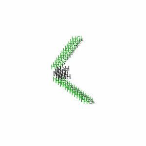 Cl.Cl.Cl.Cl.Cl.Cl.Cl.Cl.Cl.Cl.Cl.Cl.Cl.Cl.Cl.Cl.Cl.Cl.Cl.Cl.Cl.Cl.Cl.Cl.Cl.Cl.Cl.[NaH].[NaH].[NaH].[NaH].[NaH]